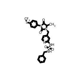 CC1C(=O)N(c2ccc(SC(F)(F)F)cc2)C(=O)N1Cc1ccnc(NS(=O)(=O)NCc2ccccc2)c1